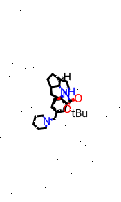 CC(C)(C)OC(=O)N1CCC2CC[C@@H](CC1)C2Nc1ccc(CN2CCCCC2)cc1